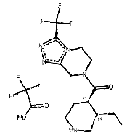 CC[C@H]1CNCC[C@H]1C(=O)N1CCn2c(nnc2C(F)(F)F)C1.O=C(O)C(F)(F)F